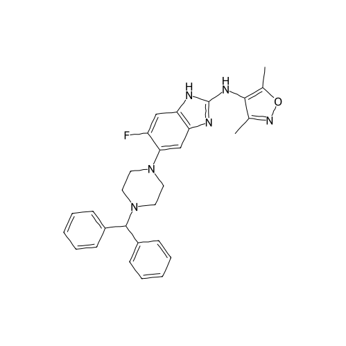 Cc1noc(C)c1Nc1nc2cc(N3CCN(C(c4ccccc4)c4ccccc4)CC3)c(F)cc2[nH]1